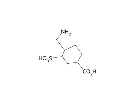 NCC1CCC(C(=O)O)CC1S(=O)(=O)O